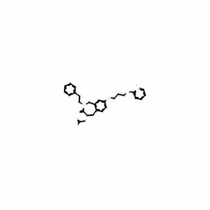 O=C(O)C[C@@H]1Cc2ccc(OCCCNc3cccc[n+]3[O-])cc2CN(CCc2ccccc2)C1=O